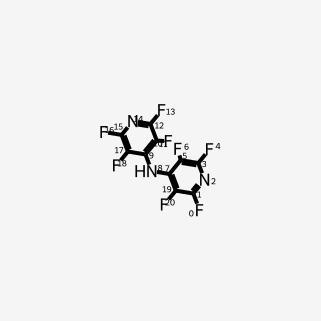 Fc1nc(F)c(F)c(Nc2c(F)c(F)nc(F)c2F)c1F